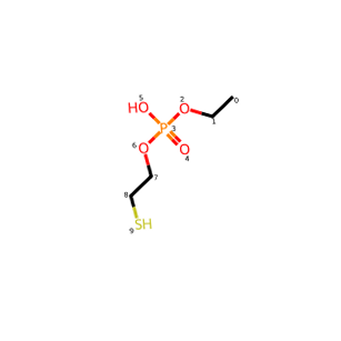 CCOP(=O)(O)OCCS